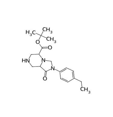 CCc1ccc(N2CN3C(C(=O)OC(C)(C)C)CNCC3C2=O)cc1